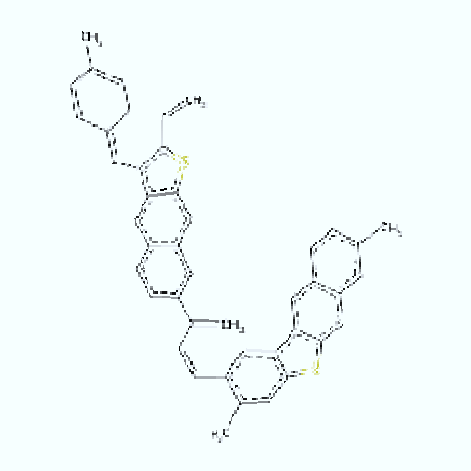 C=Cc1sc2cc3cc(C(=C)/C=C\c4cc5c(cc4C)sc4cc6cc(C)ccc6cc45)ccc3cc2c1/C=C1/C=CC(C)=CC1